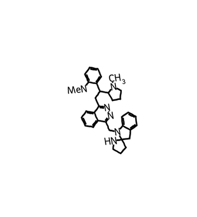 CNc1ccccc1C(Cc1nnc(CN2c3ccccc3CC23CCCN3)c2ccccc12)C1CCCN1C